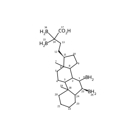 BC1C2C(CCC3(C)C2CC[C@@H]3CCC(B)(B)C(=O)O)C2(C)CCCCC2[C@@H]1B